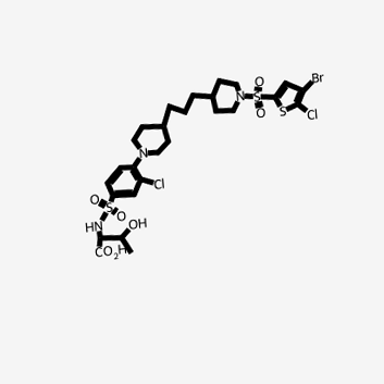 CC(O)C(NS(=O)(=O)c1ccc(N2CCC(CCCC3CCN(S(=O)(=O)c4cc(Br)c(Cl)s4)CC3)CC2)c(Cl)c1)C(=O)O